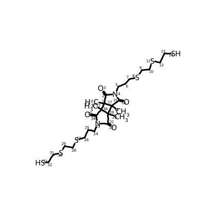 CC12C(=O)N(CCCSCCSCCS)C(=O)C1(C)C1(C)C(=O)N(CCCSCCSCCS)C(=O)C21C